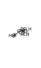 N#Cc1cc(Cl)c(C(=O)N[C@@H](CCOC2CC(CCc3ccc4c(n3)NCCC4)C2)C(=O)O)c(Cl)c1